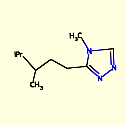 CC(C)C(C)CCc1nncn1C